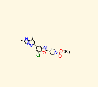 Cc1cn2nc(-c3cc(Cl)c4oc(C5CCN(C(=O)OC(C)(C)C)CC5)nc4c3)cc(C)c2n1